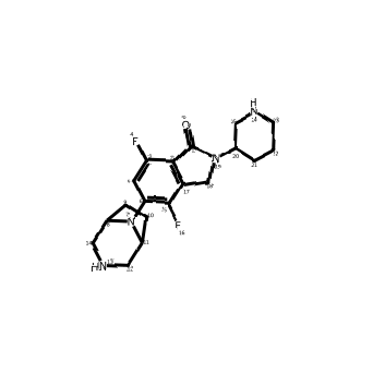 O=C1c2c(F)cc(N3C4CCC3CNC4)c(F)c2CN1C1CCCNC1